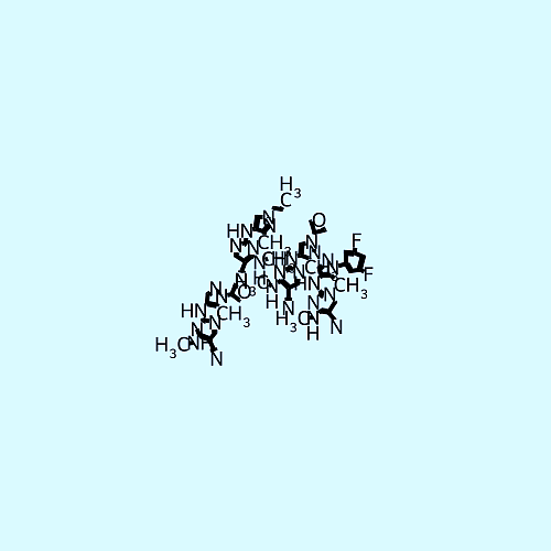 CCCn1cc(Nc2ncc(C#N)c(NC)n2)c(C)n1.CNc1nc(Nc2cn(C3COC3)nc2C)ncc1C#N.CNc1nc(Nc2cnn(-c3cc(F)cc(F)c3)c2C)ncc1C#N.CNc1nc(Nc2cnn(C3COC3)c2C)ncc1C#N